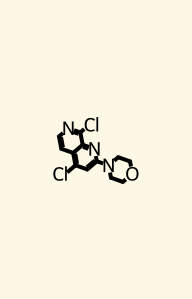 Clc1cc(N2CCOCC2)nc2c(Cl)nccc12